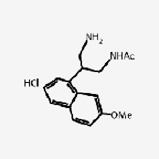 COc1ccc2cccc(C(CN)CNC(C)=O)c2c1.Cl